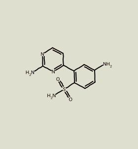 Nc1ccc(S(N)(=O)=O)c(-c2ccnc(N)n2)c1